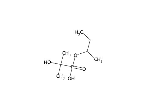 CCC(C)OP(=O)(O)C(C)(C)O